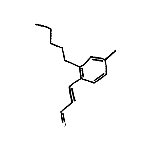 CCCCCc1cc(C)ccc1C=CC=O